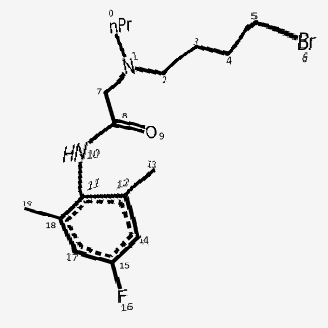 CCCN(CCCCBr)CC(=O)Nc1c(C)cc(F)cc1C